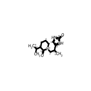 CC(CN1CCCC(C(C)C)C1=O)c1c[nH]c(=O)[nH]1